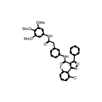 COc1cc(NC(=O)Cc2cccc(NC(=O)c3c(-c4c(F)cccc4Cl)noc3-c3ccccc3)c2)cc(OC)c1OC